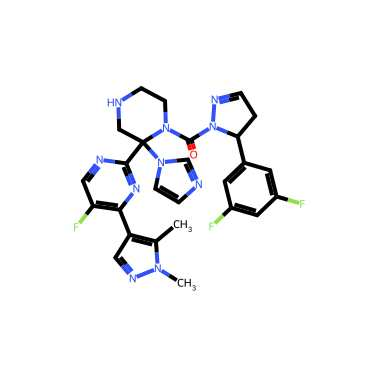 Cc1c(-c2nc(C3(n4ccnc4)CNCCN3C(=O)N3N=CCC3c3cc(F)cc(F)c3)ncc2F)cnn1C